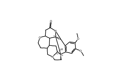 COc1cc2c(cc1OC)[C@@]13CCN4CC5CCOC6CC(=O)N2[C@H]1C6C5C[C@H]43